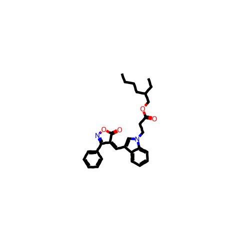 CCCCC(CC)COC(=O)CCn1cc(C=C2C(=O)ON=C2c2ccccc2)c2ccccc21